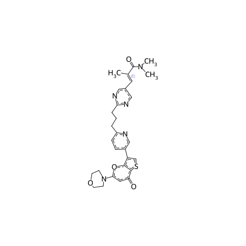 C/C(=C\c1cnc(CCCc2ccc(-c3csc4c(=O)cc(N5CCOCC5)oc34)cn2)nc1)C(=O)N(C)C